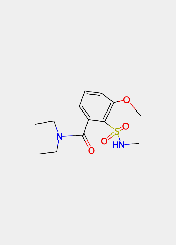 CCN(CC)C(=O)c1cccc(OC)c1S(=O)(=O)NC